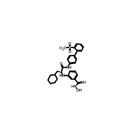 CS(=O)(=O)c1ccccc1-c1ccc(NC(=O)[C@H](CC2CCCCC2)Nc2cccc(C(=N)NO)c2)cc1